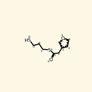 O=C(Cc1ccoc1)SCCCS